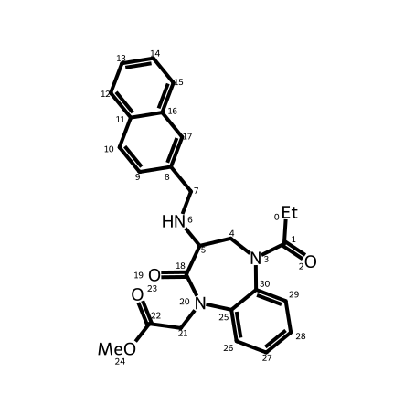 CCC(=O)N1CC(NCc2ccc3ccccc3c2)C(=O)N(CC(=O)OC)c2ccccc21